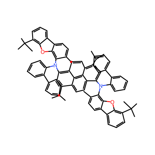 Cc1ccc2c(oc3c(C(C)(C)C)cccc32)c1N(c1ccccc1-c1ccccc1)c1cc(C(C)C)c2ccc3c(N(c4ccccc4-c4ccccc4)c4c(C)ccc5c4oc4c(C(C)(C)C)cccc45)cc(C(C)C)c4ccc1c2c43